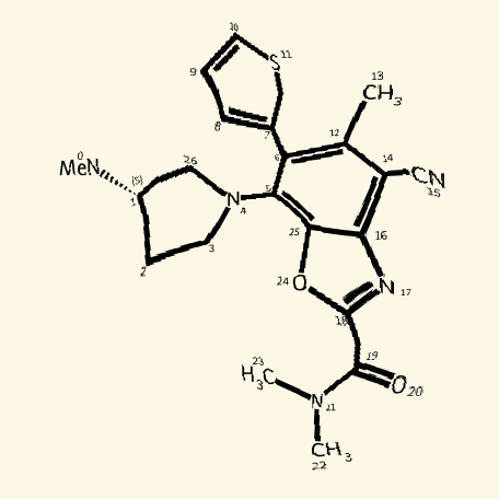 CN[C@H]1CCN(c2c(-c3cccs3)c(C)c(C#N)c3nc(C(=O)N(C)C)oc23)C1